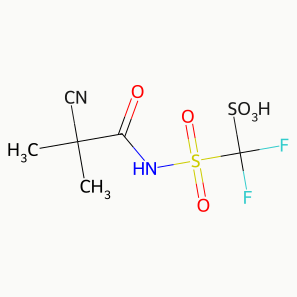 CC(C)(C#N)C(=O)NS(=O)(=O)C(F)(F)S(=O)(=O)O